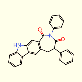 O=C1c2cc3[nH]c4ccccc4c3cc2CC(c2ccccc2)C(=O)N1c1ccccc1